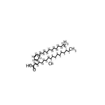 CCCCCCCCCCCCCCCC=CC(=O)O.CCCCCCCCCCCC[n+]1ccccc1.[Cl-]